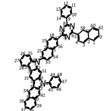 C1=CC2=CC=C(c3nc(-c4ccccc4)nc(-c4ccc5cc(-n6c7ccccc7c7cc8c9cc%10ccccc%10cc9n(-c9ccccc9)c8cc76)ccc5c4)n3)CC2C=C1